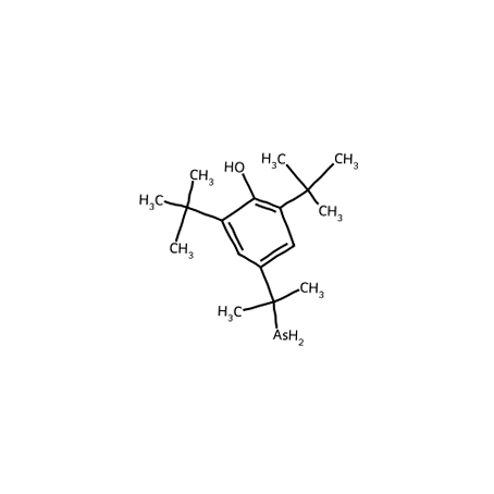 CC(C)(C)c1cc(C(C)(C)[AsH2])cc(C(C)(C)C)c1O